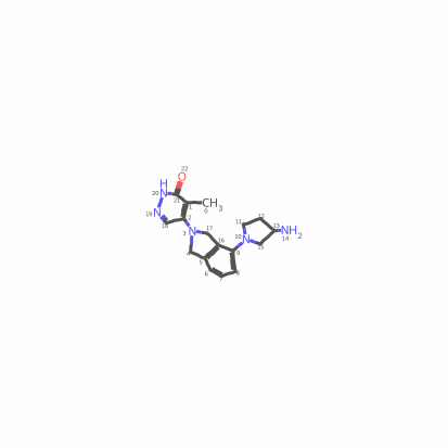 Cc1c(N2Cc3cccc(N4CCC(N)C4)c3C2)cn[nH]c1=O